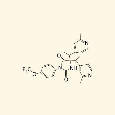 Cc1cc(C(C)C2(C(C)c3ccnc(C)c3)NC(=O)N(c3ccc(OC(F)(F)F)cc3)C2=O)ccn1